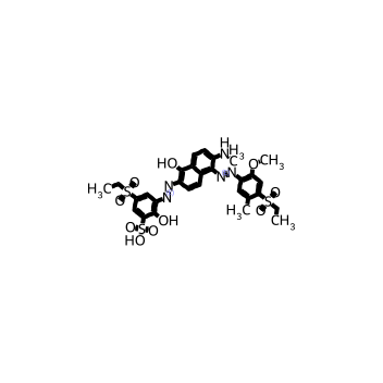 CCS(=O)(=O)c1cc(/N=N/c2ccc3c(/N=N/c4cc(C)c(S(=O)(=O)CC)cc4OC)c(NC)ccc3c2O)c(O)c(S(=O)(=O)O)c1